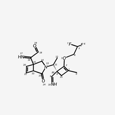 CC1=C(OCC(F)F)[C@@](C=N)(C(C)N2CC3(C(=N)C=O)C=CC3C2=O)C1